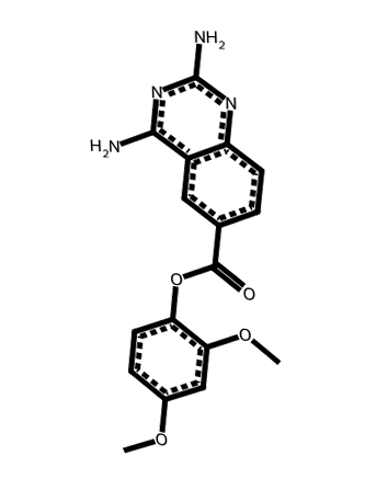 COc1ccc(OC(=O)c2ccc3nc(N)nc(N)c3c2)c(OC)c1